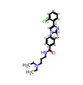 CCN(CC)CCCNC(=O)c1ccc2c(c1)sc1nc(-c3ccccc3Cl)cn12